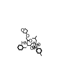 Cc1ccc(S(=O)(=O)N(CC(C)C)C[C@@H](O)[C@H](Cc2ccccc2)NC(=O)COC2CCOC2)cc1